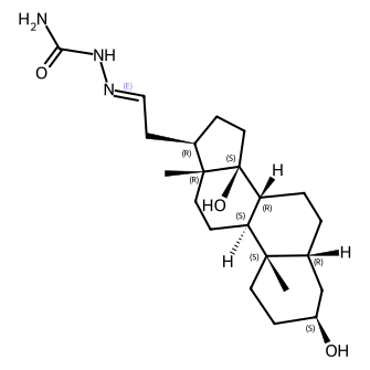 C[C@]12CC[C@H](O)C[C@H]1CC[C@@H]1[C@@H]2CC[C@]2(C)[C@@H](C/C=N/NC(N)=O)CC[C@]12O